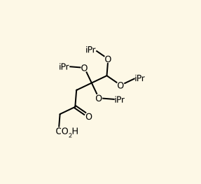 CC(C)OC(OC(C)C)C(CC(=O)CC(=O)O)(OC(C)C)OC(C)C